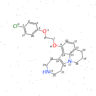 Clc1ccc(OCCOc2ccc3c4c2c2c(n4CCC3)CCNCC2)cc1